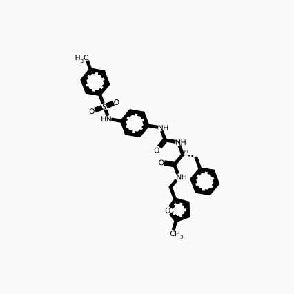 Cc1ccc(S(=O)(=O)Nc2ccc(NC(=O)N[C@H](Cc3ccccc3)C(=O)NCc3ccc(C)o3)cc2)cc1